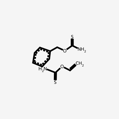 C=COC(N)=S.NC(=S)OCc1ccccc1